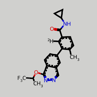 [2H]c1c(C(=O)NC2CC2)ccc(C)c1-c1ccc2c(OC(C)C(F)(F)F)nncc2c1